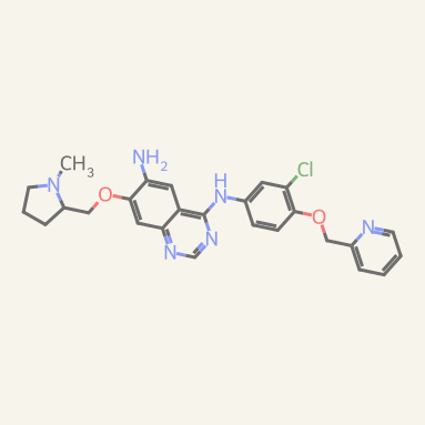 CN1CCCC1COc1cc2ncnc(Nc3ccc(OCc4ccccn4)c(Cl)c3)c2cc1N